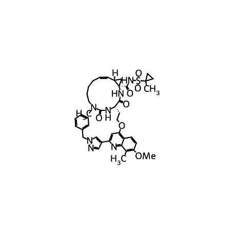 COc1ccc2c(OCC[C@@H]3NC(=O)N(C)CCCC/C=C\[C@@H]4C[C@@]4(C(=O)NS(=O)(=O)C4(C)CC4)NC3=O)cc(-c3cnn(Cc4ccccc4)c3)nc2c1C